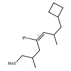 CSCC(C)C/C(=C\C(C)CC1CCC1)C(C)C